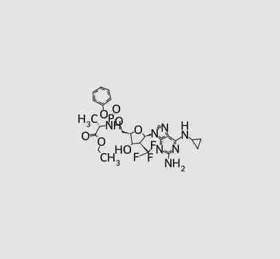 CCOC(=O)[C@H](C)N[P@](=O)(OC[C@H]1O[C@@H](n2cnc3c(NC4CC4)nc(N)nc32)[C@@H](C(F)(F)F)[C@@H]1O)Oc1ccccc1